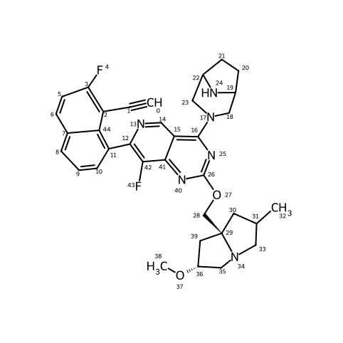 C#Cc1c(F)ccc2cccc(-c3ncc4c(N5CC6CCC(C5)N6)nc(OC[C@@]56CC(C)CN5C[C@H](OC)C6)nc4c3F)c12